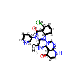 CC(Nc1ncnc2[nH]ccc(=O)c12)c1nc2cccc(Cl)c2c(=O)n1-c1cccnc1